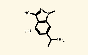 CC(N)c1ccc2c(C#N)nn(C)c2c1.Cl